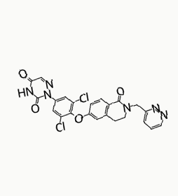 O=C1c2ccc(Oc3c(Cl)cc(-n4ncc(=O)[nH]c4=O)cc3Cl)cc2CCN1Cc1cccnn1